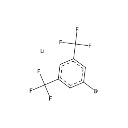 [B]c1cc(C(F)(F)F)cc(C(F)(F)F)c1.[Li]